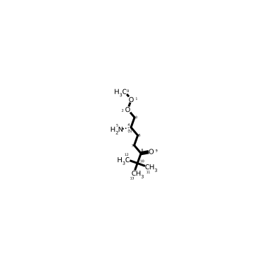 COOC[C@@H](N)CCC(=O)C(C)(C)C